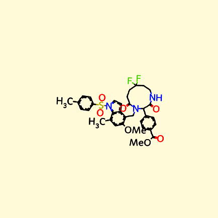 COC(=O)c1ccc(C2C(=O)NCCC(F)(F)CCC(=O)N2Cc2c(OC)cc(C)c3c2ccn3S(=O)(=O)c2ccc(C)cc2)cc1